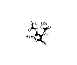 CC(C)n1nc(Br)c(NC(=O)OC(C)(C)C)c1OC(N)=O